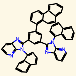 c1ccc2c(-n3c(-c4cc(-c5cccc6c5ccc5ccccc56)cc(-c5nc6cccnc6n5-c5cccc6ccccc56)c4)nc4cccnc43)cccc2c1